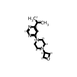 CC(C)c1cc(N2CCN(C3COC3)CC2)ncn1